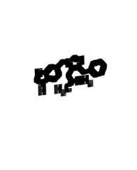 C=C(N)Cc1c(Cc2ccccc2)ncn1Cc1ccc2[nH]cnc2c1